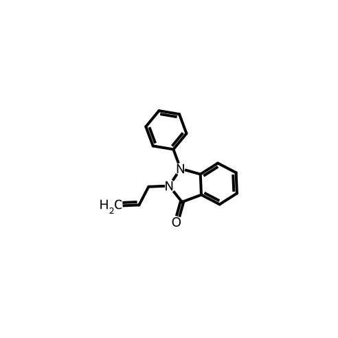 C=CCn1c(=O)c2ccccc2n1-c1ccccc1